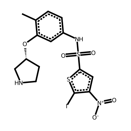 Cc1ccc(NS(=O)(=O)c2cc([N+](=O)[O-])c(I)s2)cc1O[C@@H]1CCNC1